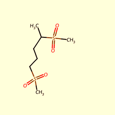 CC(CCCS(C)(=O)=O)S(C)(=O)=O